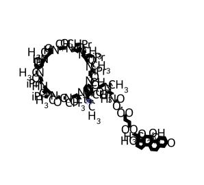 C/C=C/C[C@@H](C)C(OC(=O)CN(C)C(=O)CNC(=O)OCOC(=O)CCC(=O)OCC(=O)[C@@]1(O)CCC2C3CCC4=CC(=O)C=C[C@]4(C)C3[C@@H](O)C[C@@]21C)C1C(=O)NC(CC)C(=O)N(C)CC(=O)N(C)[C@@H](CC(C)C)C(=O)NC(C(C)C)C(=O)N(C)C(CC(C)C)C(=O)NC(C)C(=O)N[C@@H](C)C(=O)N(C)[C@@H](CC(C)C)C(=O)N(C)C(CC(C)C)C(=O)N(C)C(C(C)C)C(=O)N1C